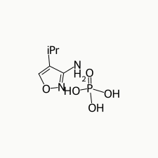 CC(C)c1conc1N.O=P(O)(O)O